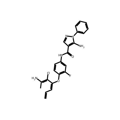 C=C/C=C(Oc1ccc(NC(=O)c2cnn(-c3ccccc3)c2N)cc1F)\C(Cl)=C(/C)N